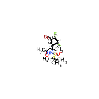 CC(=O)C[C@](C)(N[S+]([O-])C(C)(C)C)c1cc(Br)c(F)cc1F